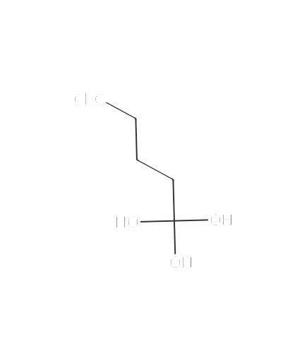 OC(O)(O)CCCC(Cl)(Cl)Cl